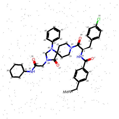 CNCc1ccc(C(=O)N[C@H](Cc2ccc(Cl)cc2)C(=O)N2CCC3(CC2)C(=O)N(CC(=O)NC2CCCCC2)CN3c2ccccc2)cc1